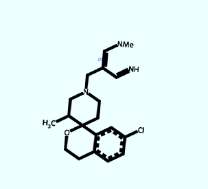 CN/C=C(\C=N)CN1CCC2(OCCc3ccc(Cl)cc32)C(C)C1